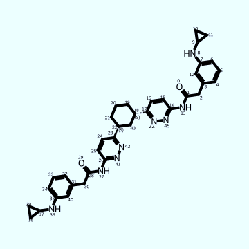 O=C(Cc1cccc(NC2CC2)c1)Nc1ccc([C@H]2CCC[C@H](c3ccc(NC(=O)Cc4cccc(NC5CC5)c4)nn3)C2)nn1